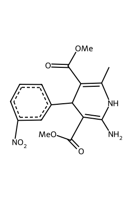 COC(=O)C1=C(C)NC(N)=C(C(=O)OC)C1c1cccc([N+](=O)[O-])c1